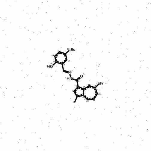 Cc1cc(C(=O)N/N=C/c2cc(C(C)(C)C)ccc2O)c2cc(C(C)C)cccc1-2